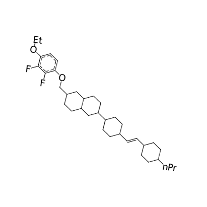 CCCC1CCC(/C=C/C2CCC(C3CCC4CC(COc5ccc(OCC)c(F)c5F)CCC4C3)CC2)CC1